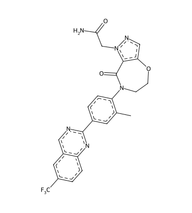 Cc1cc(-c2ncc3cc(C(F)(F)F)ccc3n2)ccc1N1CCOc2cnn(CC(N)=O)c2C1=O